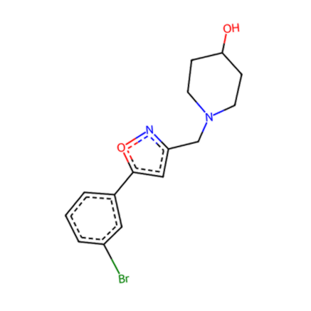 OC1CCN(Cc2cc(-c3cccc(Br)c3)on2)CC1